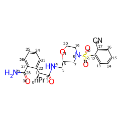 CCC[C@H](C(=O)NCC1CN(S(=O)(=O)c2ccccc2C#N)CCO1)c1ccccc1C(N)=O